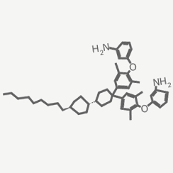 CCCCCCCCC[C@H]1CC[C@H](C2CCC(c3cc(C)c(Oc4cccc(N)c4)c(C)c3)(c3cc(C)c(Oc4cccc(N)c4)c(C)c3)CC2)CC1